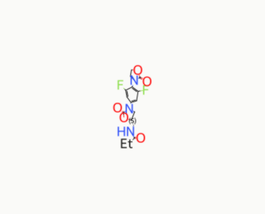 CCC(=O)NC[C@H]1CN(c2cc(F)c(N3CCOC3=O)c(F)c2)C(=O)O1